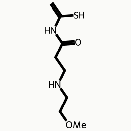 C=C(S)NC(=O)CCNCCOC